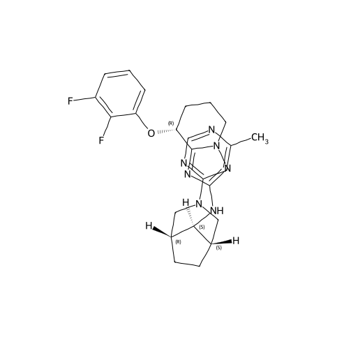 Cc1cc(N2C[C@H]3CC[C@@H](C2)[C@@H]3Nc2nc3n(n2)CCC[C@H]3Oc2cccc(F)c2F)ncn1